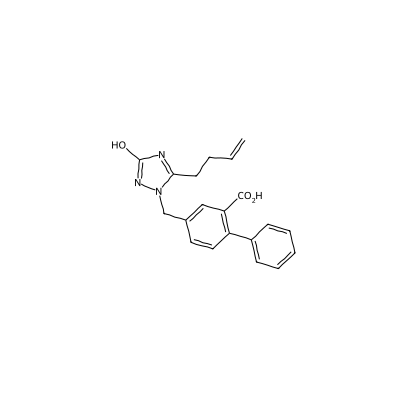 C=CCCc1nc(O)nn1Cc1ccc(-c2ccccc2)c(C(=O)O)c1